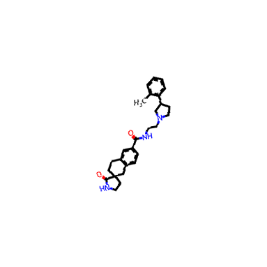 Cc1ccccc1C1CCN(CCNC(=O)c2ccc3c(c2)CCC2(CCNC2=O)C3)C1